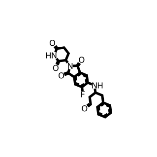 O=CCC(Cc1ccccc1)Nc1cc2c(cc1F)C(=O)N(C1CCC(=O)NC1=O)C2=O